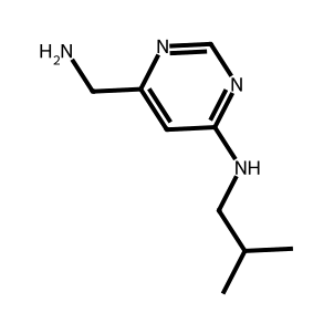 CC(C)CNc1cc(CN)ncn1